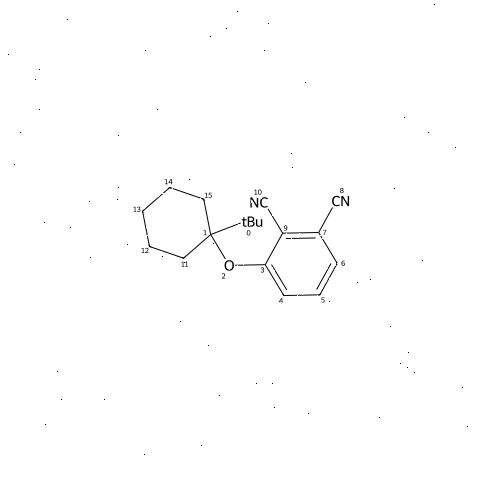 CC(C)(C)C1(Oc2cccc(C#N)c2C#N)CCCCC1